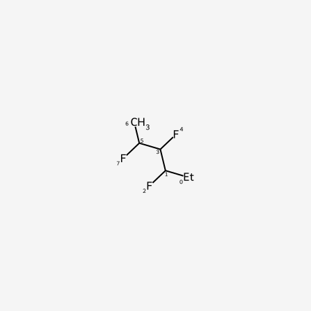 CCC(F)C(F)C(C)F